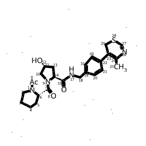 CC(=O)N1CCCC[C@H]1C(=O)N1C[C@H](O)C[C@H]1C(=O)NCc1ccc(C2=C(C)N=CSC2)cc1